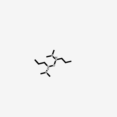 CCC[SiH](O[SiH](CCC)N(C)C)N(C)C